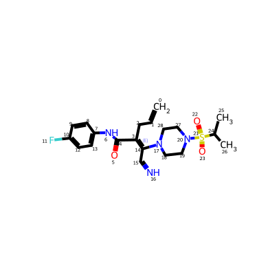 C=CC/C(C(=O)Nc1ccc(F)cc1)=C(/C=N)N1CCN(S(=O)(=O)C(C)C)CC1